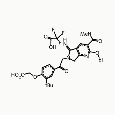 CCOc1nc2c(cc1C(=O)NC)C(=N)N(CC(=O)c1ccc(OCC(=O)O)c(C(C)(C)C)c1)C2.O=C(O)C(F)(F)F